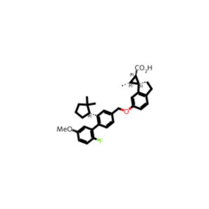 COc1ccc(F)c(-c2ccc(COc3ccc4c(c3)[C@@]3(CC4)[C@H](C)[C@H]3C(=O)O)cc2[C@@H]2CCCC2(C)C)c1